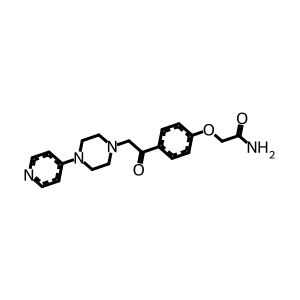 NC(=O)COc1ccc(C(=O)CN2CCN(c3ccncc3)CC2)cc1